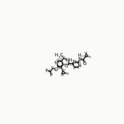 CC(NC(=O)c1ccnc(NC(=O)C2CC2)n1)c1cnc(OCC(F)F)c(C2CC2)c1